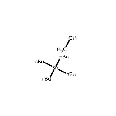 CCC[CH2][Sn]([CH2]CCC)([CH2]CCC)[CH2]CCC.CO